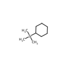 C[Si](C)(C)C1C[CH]CCC1